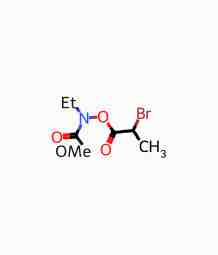 CCN(OC(=O)C(C)Br)C(=O)OC